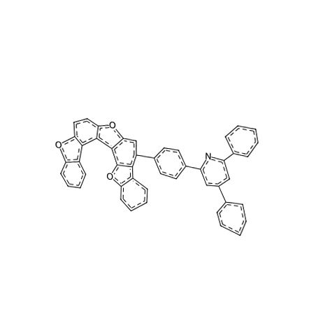 c1ccc(-c2cc(-c3ccccc3)nc(-c3ccc(-c4cc5oc6ccc7oc8ccccc8c7c6c5c5oc6ccccc6c45)cc3)c2)cc1